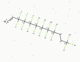 C=CC(F)(F)C(F)(F)C(F)(F)C(F)(F)C(F)(F)C(F)(F)C(F)(F)CCC(F)(F)F